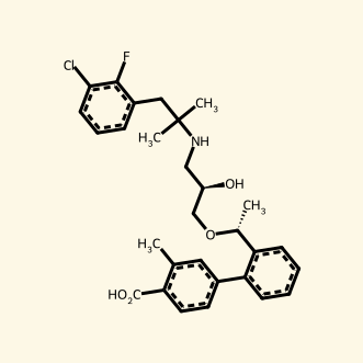 Cc1cc(-c2ccccc2[C@@H](C)OC[C@H](O)CNC(C)(C)Cc2cccc(Cl)c2F)ccc1C(=O)O